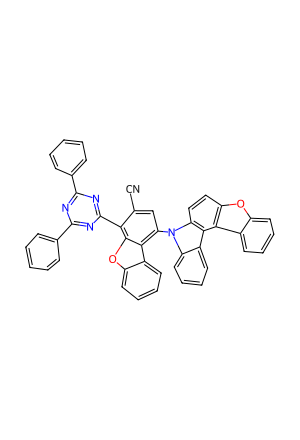 N#Cc1cc(-n2c3ccccc3c3c4c(ccc32)oc2ccccc24)c2c(oc3ccccc32)c1-c1nc(-c2ccccc2)nc(-c2ccccc2)n1